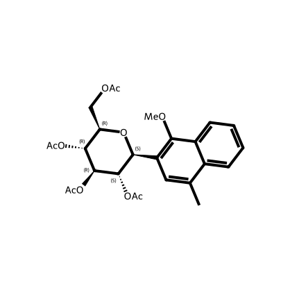 COc1c([C@@H]2O[C@H](COC(C)=O)[C@@H](OC(C)=O)[C@H](OC(C)=O)[C@H]2OC(C)=O)cc(C)c2ccccc12